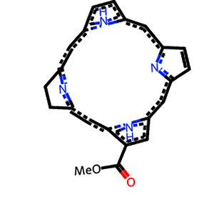 COC(=O)c1cc2cc3nc(cc4ccc(cc5nc(cc1[nH]2)CC5)[nH]4)C=C3